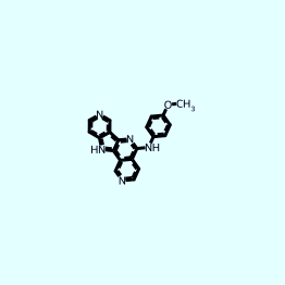 COc1ccc(Nc2nc3c4cnccc4[nH]c3c3cnccc23)cc1